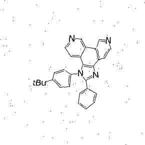 CC(C)(C)c1ccc(-n2c(-c3ccccc3)nc3c4ccncc4c4cnccc4c32)cc1